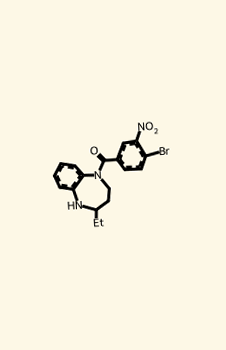 CCC1CCN(C(=O)c2ccc(Br)c([N+](=O)[O-])c2)c2ccccc2N1